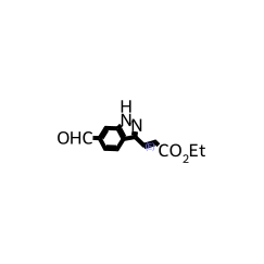 CCOC(=O)/C=C/c1n[nH]c2cc(C=O)ccc12